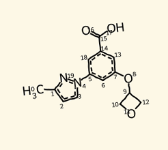 Cc1ccn(-c2cc(OC3COC3)cc(C(=O)O)c2)n1